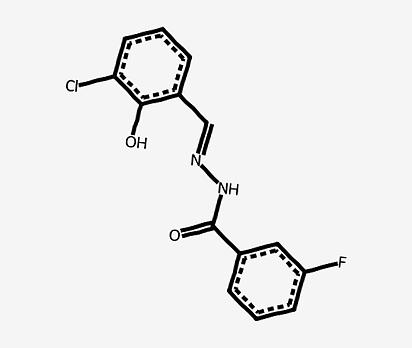 O=C(N/N=C/c1cccc(Cl)c1O)c1cccc(F)c1